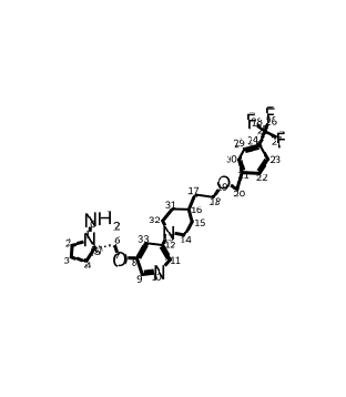 NN1CCC[C@H]1COc1cncc(N2CCC(CCOCc3ccc(C(F)(F)F)cc3)CC2)c1